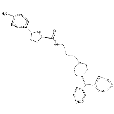 Cc1ccc(C2NC(C(=O)NCCCN3CCC(=C(c4ccccc4)c4ccccc4)CC3)CS2)cn1